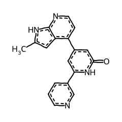 Cc1cc2c(-c3cc(-c4cccnc4)[nH]c(=O)c3)ccnc2[nH]1